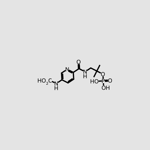 CC(C)(CNC(=O)c1ccc(NC(=O)O)cn1)OP(=O)(O)O